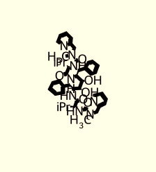 CC(C)[C@H](NC(=O)N(C)Cc1ccccn1)C(=O)N[C@@H](Cc1ccccc1)[C@@H](O)[C@H](O)[C@H](Cc1ccccc1)NC(=O)[C@@H](NC(=O)N(C)Cc1ccccn1)C(C)C